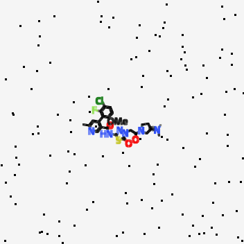 COc1ccc(Cl)c(F)c1-c1cc(C)ncc1C(=O)Nc1nn(CC(=O)N2CC[C@@H](N(C)C)C2)c(=O)s1